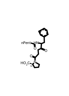 CCCCCC(=O)NC(Cc1ccccc1)C(=O)CCC(=O)N1CCC[C@H]1C(=O)O